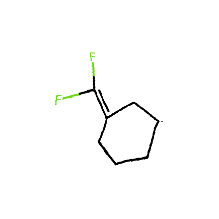 FC(F)=C1C[CH]CCC1